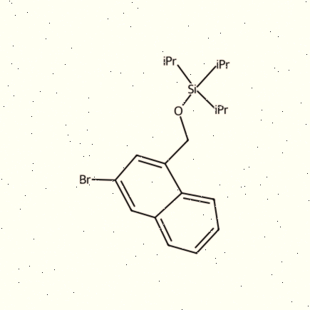 CC(C)[Si](OCc1cc(Br)cc2ccccc12)(C(C)C)C(C)C